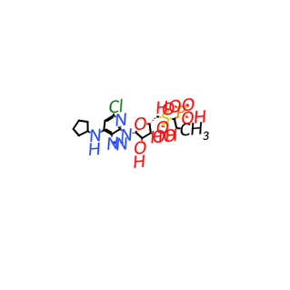 CC(O)C(P(=O)(O)O)S(=O)(=O)C[C@H]1O[C@@H](n2nnc3c(NC4CCCC4)cc(Cl)nc32)[C@H](O)[C@@H]1O